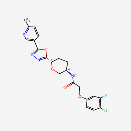 O=C(COc1ccc(Cl)c(F)c1)N[C@@H]1CC[C@@H](c2nnc(-c3ccc(C(F)(F)F)nc3)o2)OC1